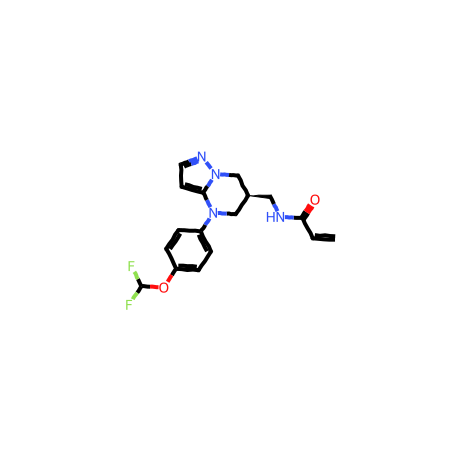 C=CC(=O)NC[C@H]1CN(c2ccc(OC(F)F)cc2)c2ccnn2C1